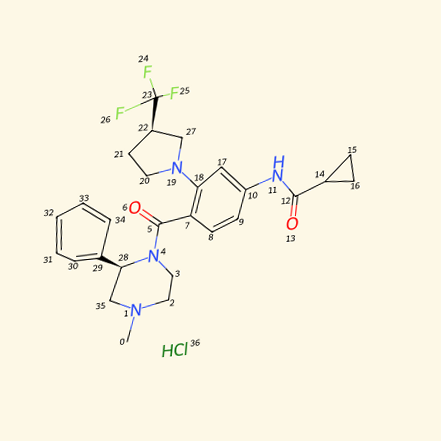 CN1CCN(C(=O)c2ccc(NC(=O)C3CC3)cc2N2CC[C@@H](C(F)(F)F)C2)[C@H](c2ccccc2)C1.Cl